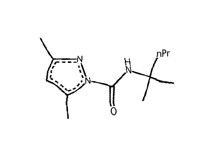 CCCC(C)(C)NC(=O)n1nc(C)cc1C